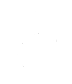 CCOC[C@@]1(CCc2cccs2)CCN(Cc2ccc(C)nc2)C1